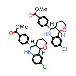 COC(=O)c1ccc([C@@H]2Nc3ccc(Cl)cc3[C@@H]3OCCC[C@H]23)cc1.COC(=O)c1ccc([C@H]2Nc3ccc(Cl)cc3[C@@H]3OCCC[C@H]23)cc1